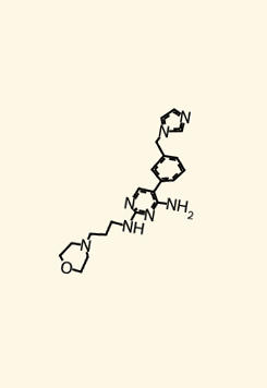 Nc1nc(NCCCN2CCOCC2)ncc1-c1cccc(Cn2ccnc2)c1